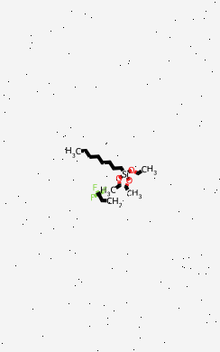 CCCCCCCC[Si](OCC)(OCC)OCC.[CH2]CC(F)(F)F